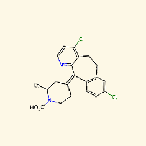 CCC1CC(=C2c3ccc(Cl)cc3CCc3c(Cl)ccnc32)CCN1C(=O)O